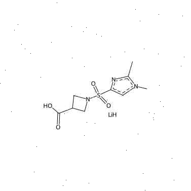 Cc1nc(S(=O)(=O)N2CC(C(=O)O)C2)cn1C.[LiH]